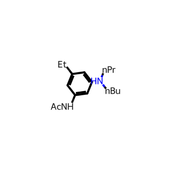 CCCCNCCC.CCc1cccc(NC(C)=O)c1